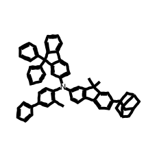 Cc1cc(-c2ccccc2)ccc1N(c1ccc2c(c1)C(C)(C)c1cc(C34CC5CC(CC(C5)C3)C4)ccc1-2)c1ccc2c(c1)C(c1ccccc1)(c1ccccc1)c1ccccc1-2